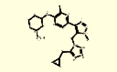 Cc1nc(-c2nnn(C)c2Cn2nnnc2CC2CC2)ccc1OC1CCC[C@H](C(=O)O)C1